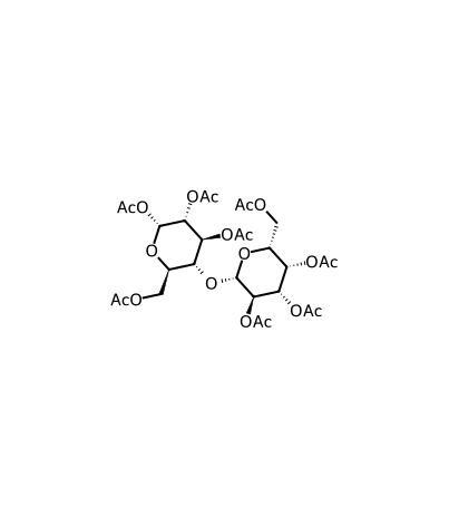 CC(=O)OC[C@H]1O[C@@H](O[C@H]2[C@H](OC(C)=O)[C@@H](OC(C)=O)[C@@H](OC(C)=O)O[C@@H]2COC(C)=O)[C@H](OC(C)=O)[C@@H](OC(C)=O)[C@H]1OC(C)=O